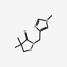 Cn1cnc(CN2OCC(C)(C)C2=O)c1